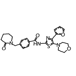 O=C(Nc1nc(-c2ccco2)c(N2CCOCC2)s1)c1ccc(CN2CCCCC2=O)cc1